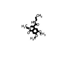 CCCNC(=O)c1cn(CC)c(=O)c2cc(OC)c(OC)cc12